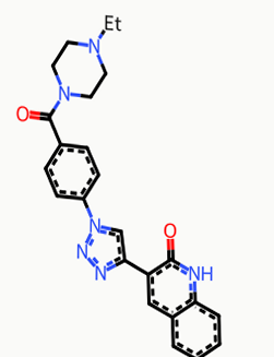 CCN1CCN(C(=O)c2ccc(-n3cc(-c4cc5ccccc5[nH]c4=O)nn3)cc2)CC1